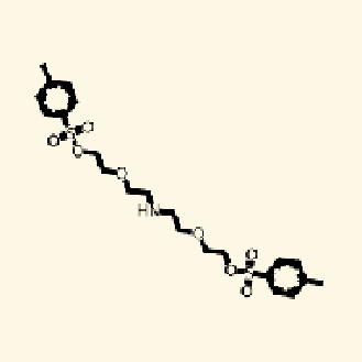 Cc1ccc(S(=O)(=O)OCCOCCNCCOCCOS(=O)(=O)c2ccc(C)cc2)cc1